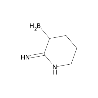 BC1CCCNC1=N